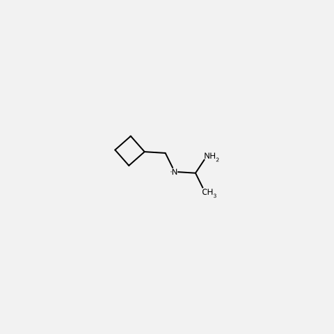 CC(N)[N]CC1CCC1